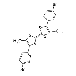 CC1=C(c2ccc(Br)cc2)S/C(=C2\SC(C)=C(c3ccc(Br)cc3)S2)S1